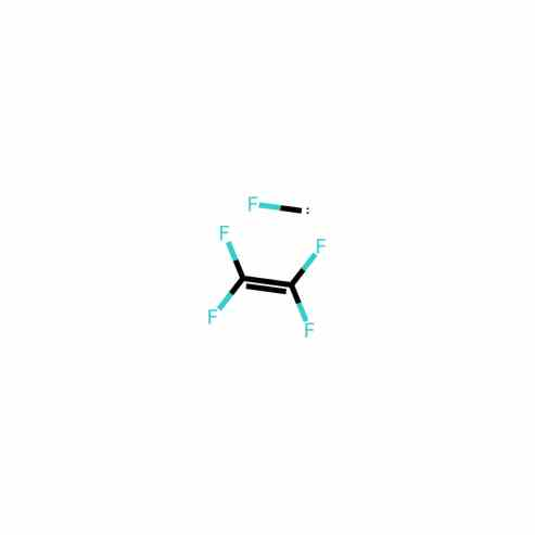 FC(F)=C(F)F.[CH]F